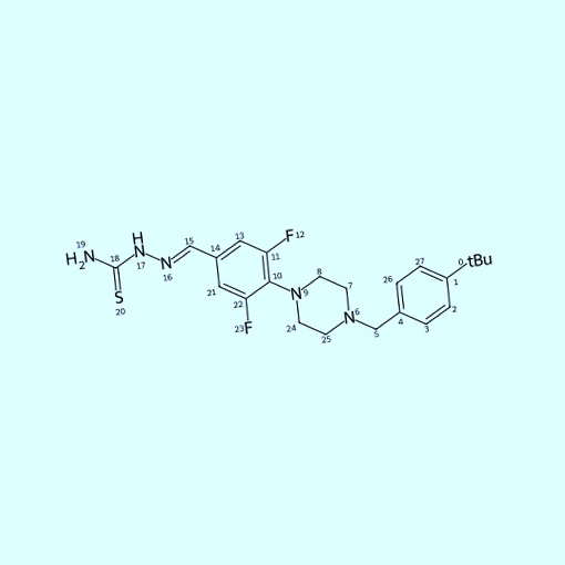 CC(C)(C)c1ccc(CN2CCN(c3c(F)cc(/C=N/NC(N)=S)cc3F)CC2)cc1